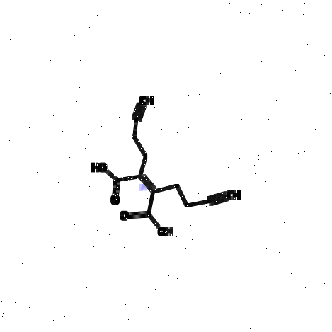 C#CCC/C(C(=O)O)=C(\CCC#C)C(=O)O